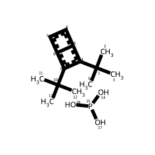 CC(C)(C)c1c2ccc-2c1C(C)(C)C.OP(O)O